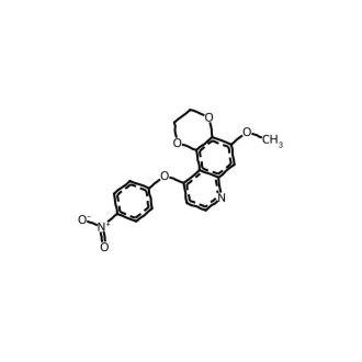 COc1cc2nccc(Oc3ccc([N+](=O)[O-])cc3)c2c2c1OCCO2